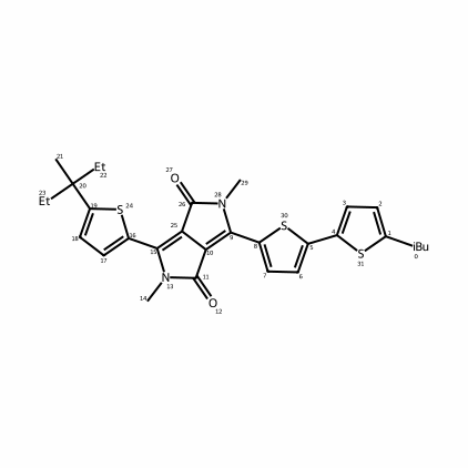 CCC(C)c1ccc(-c2ccc(C3=C4C(=O)N(C)C(c5ccc(C(C)(CC)CC)s5)=C4C(=O)N3C)s2)s1